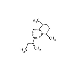 BCC(=C)c1ccc2c(c1)C(C)CCC2C